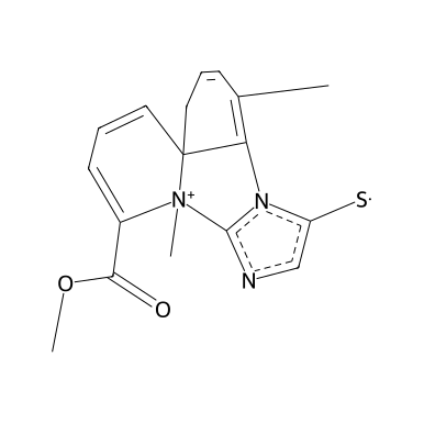 COC(=O)C1=CC=CC23CC=CC(C)=C2n2c([S])cnc2[N+]13C